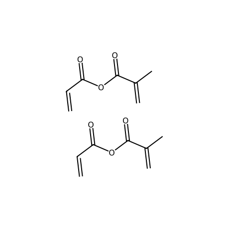 C=CC(=O)OC(=O)C(=C)C.C=CC(=O)OC(=O)C(=C)C